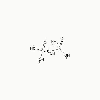 N.O=P(O)(O)O.O=S(O)O